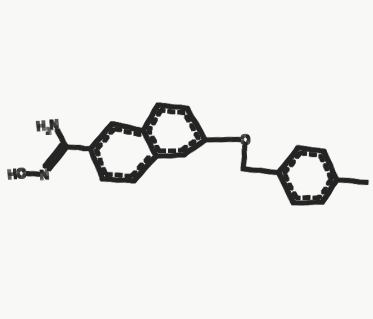 Cc1ccc(COc2ccc3cc(C(N)=NO)ccc3c2)cc1